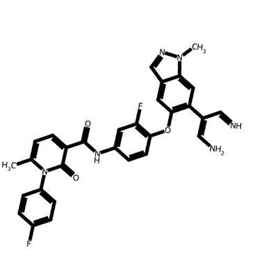 Cc1ccc(C(=O)Nc2ccc(Oc3cc4cnn(C)c4cc3/C(C=N)=C/N)c(F)c2)c(=O)n1-c1ccc(F)cc1